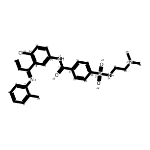 C=C/C(=N\c1ccccc1C)c1cc(NC(=O)c2ccc(S(=O)(=O)NCCN(C)C)cc2)ccc1Cl